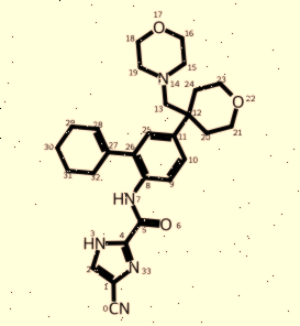 N#Cc1c[nH]c(C(=O)Nc2ccc(C3(CN4CCOCC4)CCOCC3)cc2C2=CCCCC2)n1